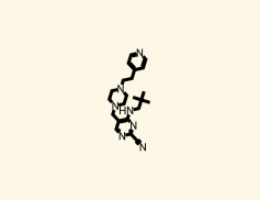 CC(C)(C)CNc1nc(C#N)ncc1CN1CCN(CCc2ccncc2)CC1